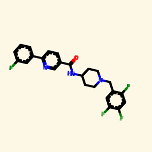 O=C(NC1CCN(Cc2cc(F)c(F)cc2F)CC1)c1ccc(-c2cccc(F)c2)nc1